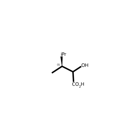 CC(C)[C@H](C)C(O)C(=O)O